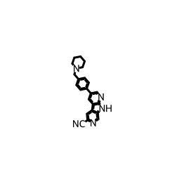 N#Cc1cc2c(cn1)[nH]c1ncc(-c3ccc(CN4CCCCC4)cc3)cc12